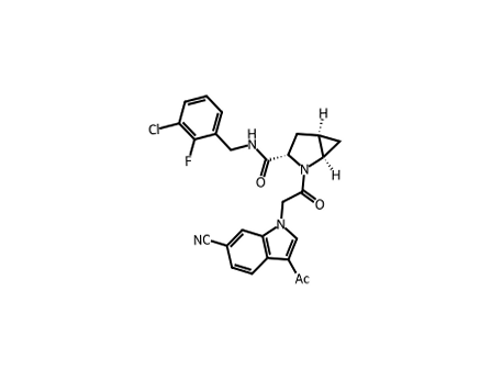 CC(=O)c1cn(CC(=O)N2[C@@H]3C[C@@H]3C[C@H]2C(=O)NCc2cccc(Cl)c2F)c2cc(C#N)ccc12